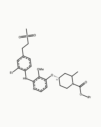 CCc1cc(CCS(C)(=O)=O)ccc1Nc1nccc(O[C@H]2CCN(C(=O)OC(C)C)C(C)C2)c1OC